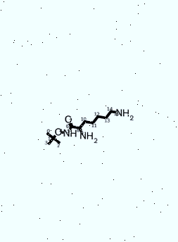 CC(C)(C)ONC(=O)C(N)CCCCCN